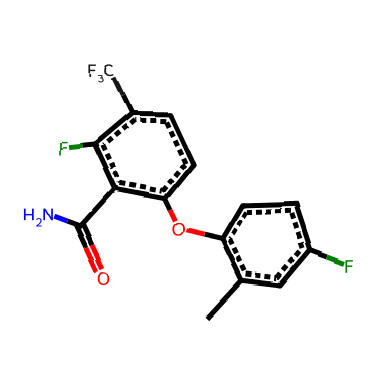 Cc1cc(F)ccc1Oc1ccc(C(F)(F)F)c(F)c1C(N)=O